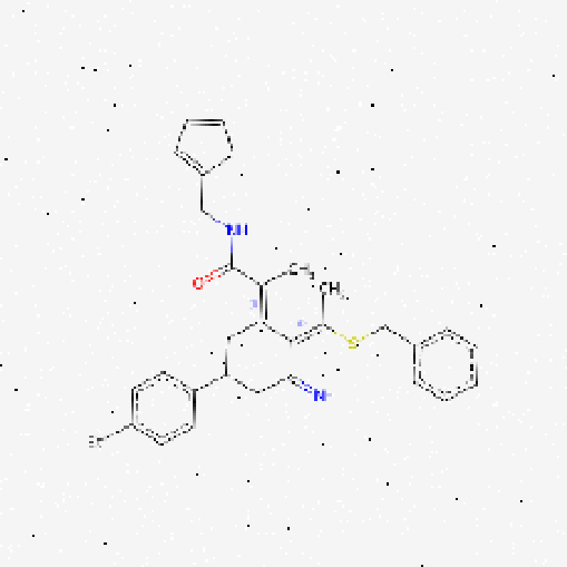 CCc1ccc(C2CC(=N)C(=C(/C)SCc3ccccc3)/C(=C(\C)C(=O)NCC3=CC=CC3)C2)cc1